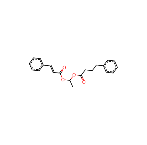 CC(OC(=O)C=Cc1ccccc1)OC(=O)CCCc1ccccc1